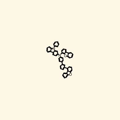 c1ccc(-n2c3ccccc3c3ccc(N(c4ccc(-c5cccc(-c6cccc7oc8ccccc8c67)c5)cc4)c4cccc5c4oc4ccccc45)cc32)cc1